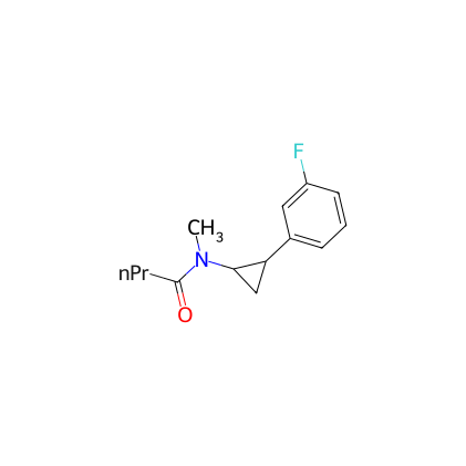 CCCC(=O)N(C)C1CC1c1cccc(F)c1